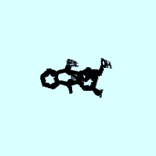 CCC12c3ccccc3C(C)(c3cc(I)ccc31)N2CCCO